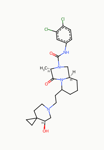 C[C@H]1C(=O)N2C(CCN3CCC4(CC4)[C@H](O)C3)CCC[C@@H]2CN1C(=O)Nc1ccc(Cl)c(Cl)c1